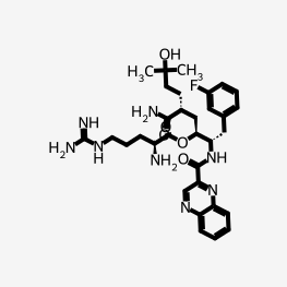 CC(C)(O)CC[C@H](C[C@H](OC(=O)[C@@H](N)CCCNC(=N)N)[C@H](Cc1cccc(F)c1)NC(=O)c1cnc2ccccc2n1)C(N)=O